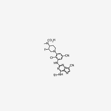 CCNc1nc(Nc2cc(C#N)cc(N3CC[C@H](N(C)C(=O)O)[C@H](F)C3)c2Cl)nn2c(C#N)cnc12